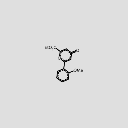 CCOC(=O)c1cc(=O)cc(-c2ccccc2OC)o1